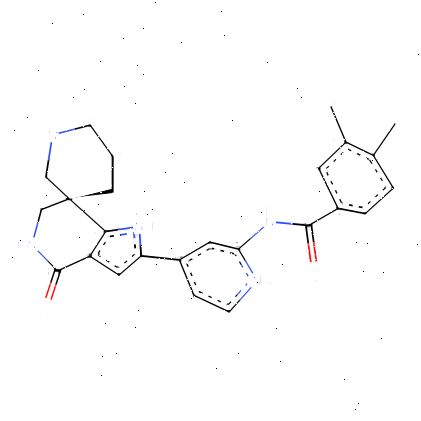 Cc1ccc(C(=O)Nc2cc(-c3cc4c([nH]3)[C@]3(CCCNC3)CNC4=O)ccn2)cc1C